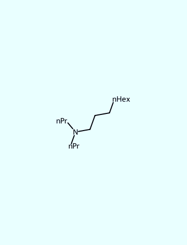 CCCCCCCCCN(CCC)CCC